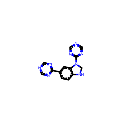 c1ncnc(-c2ccc3c(c2)N(c2ncncn2)CN3)n1